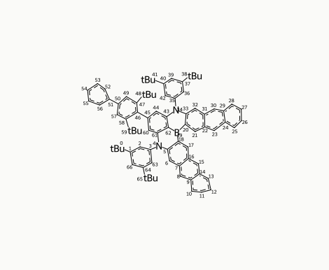 CC(C)(C)c1cc(N2c3cc4cc5ccccc5cc4cc3B3c4cc5cc6ccccc6cc5cc4N(c4cc(C(C)(C)C)cc(C(C)(C)C)c4)c4cc(-c5c(C(C)(C)C)cc(-c6ccccc6)cc5C(C)(C)C)cc2c43)cc(C(C)(C)C)c1